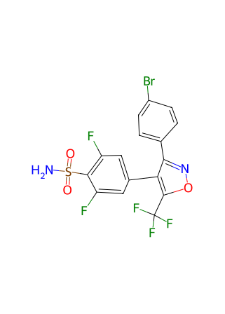 NS(=O)(=O)c1c(F)cc(-c2c(-c3ccc(Br)cc3)noc2C(F)(F)F)cc1F